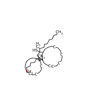 CCCCCCCCC(C)C1(S)CC(S)(CCCCCC)C2(C3(C)CCCCCCCCCCCCCC3)CCCCCCCCCCCCCCCC1C2